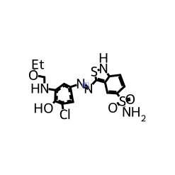 CCOCNc1cc(/N=N/C2=C3C=C(S(N)(=O)=O)C=CC3NS2)cc(Cl)c1O